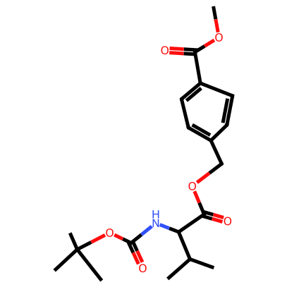 COC(=O)c1ccc(COC(=O)C(NC(=O)OC(C)(C)C)C(C)C)cc1